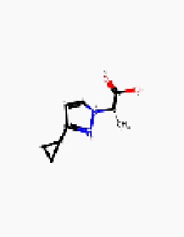 C[C@@H](C(=O)O)n1ccc(C2CC2)n1